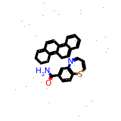 C1=c2ccc3c(c2CCC1)CC=c1ccccc1=3.NC(=O)c1ccc2c(c1)N=CC=CS2